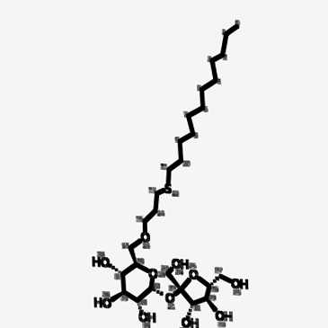 CCCCCCCCCCCCSCCCOC[C@H]1O[C@H](O[C@]2(CO)O[C@H](CO)[C@@H](O)[C@@H]2O)[C@H](O)[C@@H](O)[C@@H]1O